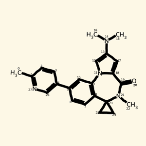 Cc1ccc(-c2ccc3c(c2)-n2cc(N(C)C)cc2C(=O)N(C)C32CC2)cn1